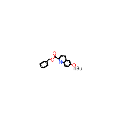 CCCCOc1ccc2nc(C(=O)OCc3ccccc3)ccc2c1